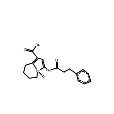 O=C(CCc1ccccc1)NC1=CC(C(=O)O)=C2CCCC[N+]12[O-]